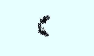 O=C(NCCCN1CCN(CCCNC(=O)c2cccc(NS(=O)(=O)c3ccc4ccccc4c3)c2)CC1)c1cccc(NS(=O)(=O)c2ccc3ccccc3c2)c1